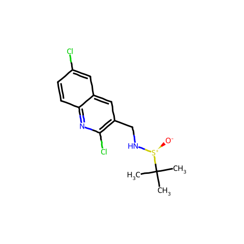 CC(C)(C)[S@+]([O-])NCc1cc2cc(Cl)ccc2nc1Cl